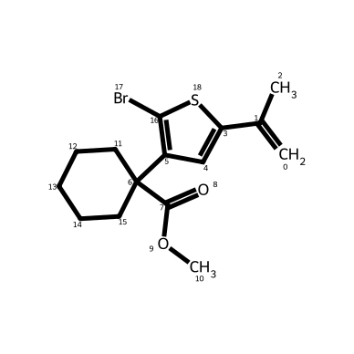 C=C(C)c1cc(C2(C(=O)OC)CCCCC2)c(Br)s1